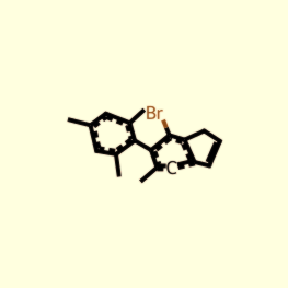 Cc1cc(C)c(-c2c(C)cc3c(c2Br)CC=C3)c(C)c1